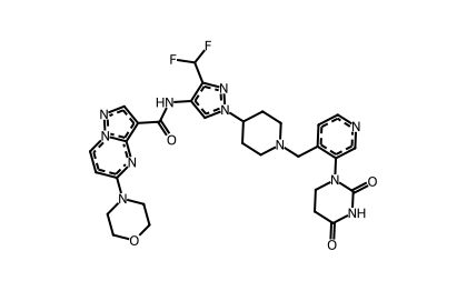 O=C1CCN(c2cnccc2CN2CCC(n3cc(NC(=O)c4cnn5ccc(N6CCOCC6)nc45)c(C(F)F)n3)CC2)C(=O)N1